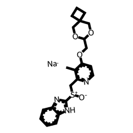 Cc1c(OCC2OCC3(CCC3)CO2)ccnc1C[S+]([O-])c1nc2ccccc2[nH]1.[Na]